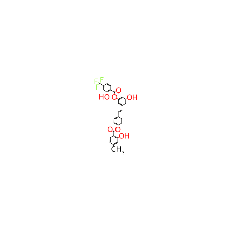 Cc1ccc(C(=O)Oc2ccc(/C=C/c3cc(O)cc(OC(=O)c4ccc(C(F)(F)F)cc4O)c3)cc2)c(O)c1